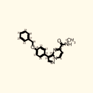 CNC(=O)c1ccn2ncc(-c3ccc(OCc4ccccc4)cc3)c2n1